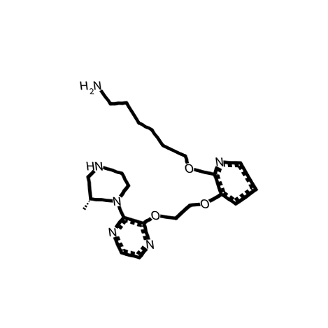 C[C@@H]1CNCCN1c1nccnc1OCCOc1cccnc1OCCCCCCN